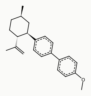 C=C(C)[C@@H]1CC[C@@H](C)C[C@H]1c1ccc(-c2ccc(OC)cc2)cc1